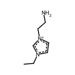 CCn1cc[n+](CCN)c1